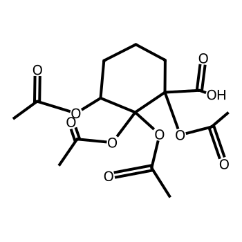 CC(=O)OC1CCCC(OC(C)=O)(C(=O)O)C1(OC(C)=O)OC(C)=O